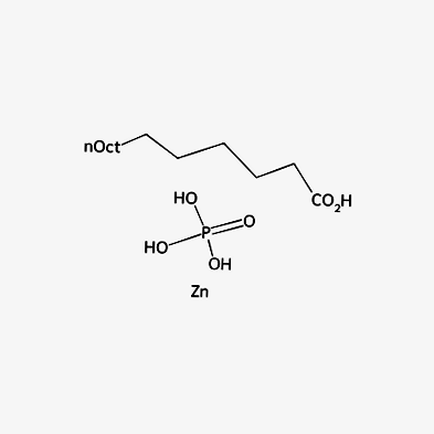 CCCCCCCCCCCCCC(=O)O.O=P(O)(O)O.[Zn]